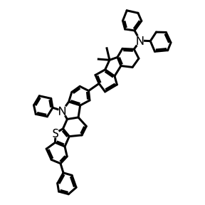 CC1(C)C2=C(CCC(N(C3=CCCC=C3)C3C=CC=CC3)=C2)c2ccc(-c3ccc4c(c3)C3C=Cc5c(sc6ccc(-c7ccccc7)cc56)C3N4c3ccccc3)cc21